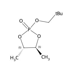 C[C@@H]1OP(=O)(OCC(C)(C)C)O[C@H]1C